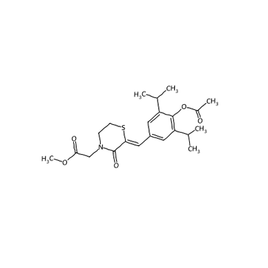 COC(=O)CN1CCSC(=Cc2cc(C(C)C)c(OC(C)=O)c(C(C)C)c2)C1=O